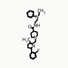 CCN(CCNC(=O)C1CCN(CC2=C(C)CCC(c3ccccc3F)=N2)CC1)c1ccccc1